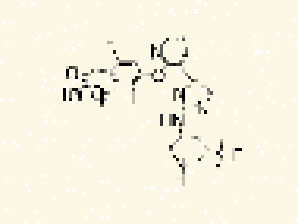 CC(C)(F)C1CNCC(Nc2nccc(-c3cccnc3Oc3cc(F)c(CS(=O)(=O)O)c(F)c3F)n2)C1